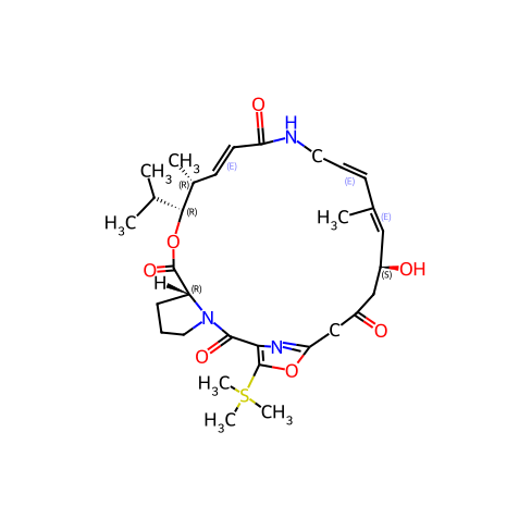 CC1=C\[C@@H](O)CC(=O)Cc2nc(c(S(C)(C)C)o2)C(=O)N2CCC[C@@H]2C(=O)O[C@H](C(C)C)[C@H](C)/C=C/C(=O)NC\C=C\1